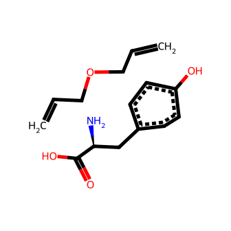 C=CCOCC=C.N[C@@H](Cc1ccc(O)cc1)C(=O)O